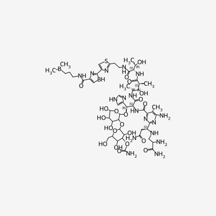 CB(C)CCCNC(=O)C1=CBC(c2csc(CCNC(=O)[C@@H](NC(=O)[C@@H](C)[C@H](O)[C@@H](C)NC(=O)[C@@H](NC(=O)c3nc([C@H](CC(N)=O)NCC(N)C(N)=O)nc(N)c3C)[C@@H](OC3OC(O)C(O)C(O)C3OC3OC(CO)C(O)C(OC(N)=O)C3O)c3c[nH]cn3)[C@@H](C)O)n2)=N1